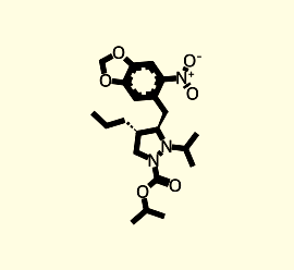 CCC[C@H]1CN(C(=O)OC(C)C)N(C(C)C)[C@@H]1Cc1cc2c(cc1[N+](=O)[O-])OCO2